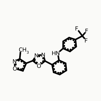 Cc1nocc1-c1nnc(-c2ccccc2Nc2ccc(C(F)(F)F)cc2)o1